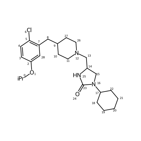 CC(C)Oc1ccc(Cl)c(CC2CCN(CC3CN(C4CCCCC4)C(=O)N3)CC2)c1